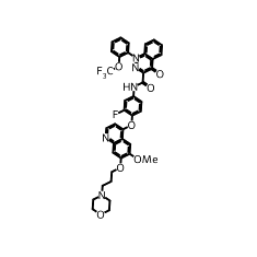 COc1cc2c(Oc3ccc(NC(=O)c4nn(-c5ccccc5OC(F)(F)F)c5ccccc5c4=O)cc3F)ccnc2cc1OCCCN1CCOCC1